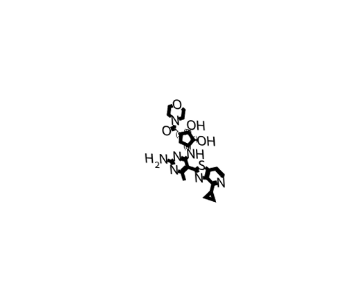 Cc1nc(N)nc(N[C@@H]2C[C@H](C(=O)N3CCOCC3)[C@@H](O)[C@H]2O)c1-c1nc2c(C3CC3)nccc2s1